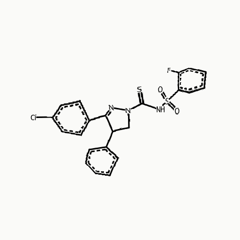 O=S(=O)(NC(=S)N1CC(c2ccccc2)C(c2ccc(Cl)cc2)=N1)c1ccccc1F